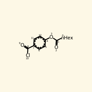 CCCCCCC(=O)Oc1ccc(C(=O)Cl)cc1